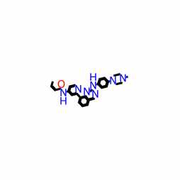 C/C=C\C(=O)Nc1ccnc(-c2cccc3cnc(Nc4ccc(N5CCN(C)CC5)cc4)nc23)c1